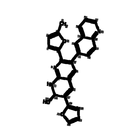 Cc1ccc(-c2nc3c(cc2-c2ccc4ncccc4c2)C=C(c2ncco2)C(O)N3)o1